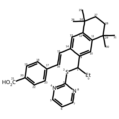 CCC(Sc1ncccn1)c1cc2c(cc1/C=C/c1ccc(C(=O)O)cc1)C(C)(C)CCC2(C)C